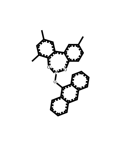 Cc1ccc2op(Oc3c4ccccc4cc4ccccc34)oc3c(C)cc(C)cc3c2c1